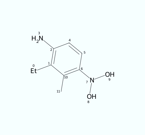 CCc1c(N)ccc(N(O)O)c1C